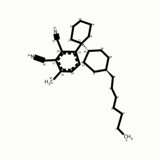 CCCCCCC[C@H]1CC[C@H](C2(c3ccc(C)c(C#N)c3C#N)CCCCC2)CC1